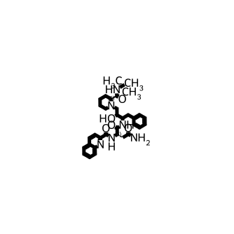 CC(C)(C)NC(=O)[C@@H]1CCCCN1CC(O)C(Cc1ccccc1)NC(=O)[C@H](CC(N)=O)NC(=O)c1ccc2ccccc2n1